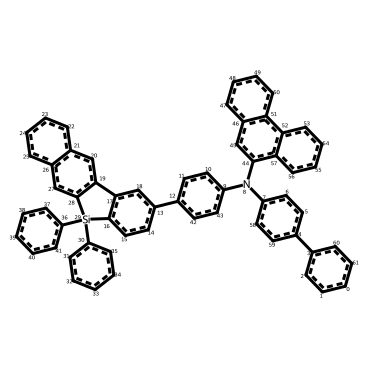 c1ccc(-c2ccc(N(c3ccc(-c4ccc5c(c4)-c4cc6ccccc6cc4[Si]5(c4ccccc4)c4ccccc4)cc3)c3cc4ccccc4c4ccccc34)cc2)cc1